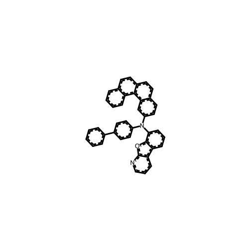 c1ccc(-c2ccc(N(c3ccc4ccc5ccc6ccccc6c5c4c3)c3cccc4c3oc3ncccc34)cc2)cc1